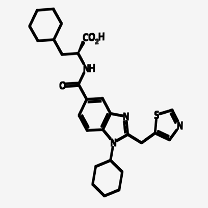 O=C(N[C@@H](CC1CCCCC1)C(=O)O)c1ccc2c(c1)nc(Cc1cncs1)n2C1CCCCC1